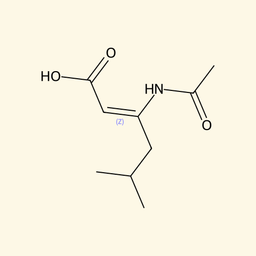 CC(=O)N/C(=C\C(=O)O)CC(C)C